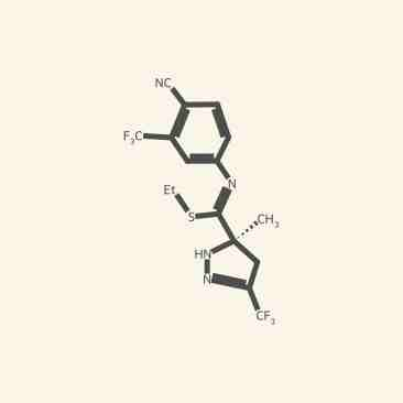 CCSC(=Nc1ccc(C#N)c(C(F)(F)F)c1)[C@@]1(C)CC(C(F)(F)F)=NN1